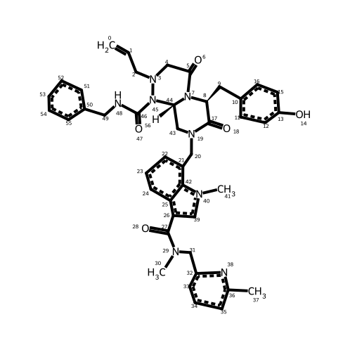 C=CCN1CC(=O)N2[C@@H](Cc3ccc(O)cc3)C(=O)N(Cc3cccc4c(C(=O)N(C)Cc5cccc(C)n5)cn(C)c34)C[C@@H]2N1C(=O)NCc1ccccc1